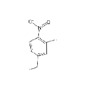 [CH2]c1cc(CC)ccc1[N+](=O)[O-]